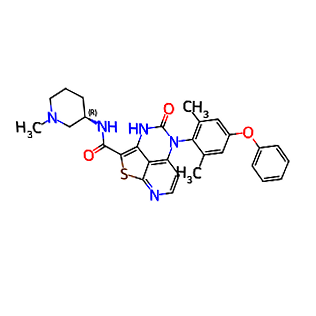 Cc1cc(Oc2ccccc2)cc(C)c1N1C(=O)Nc2c(C(=O)N[C@@H]3CCCN(C)C3)sc3nccc1c23